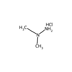 CN(C)N.Cl